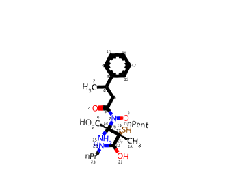 CCCCCON(C(=O)CC(C)c1ccccc1)[C@](N)(C(=O)O)[C@](C)(S)C(O)NCCC